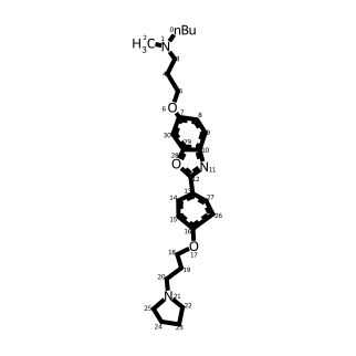 CCCCN(C)CCCOc1ccc2nc(-c3ccc(OCCCN4CCCC4)cc3)oc2c1